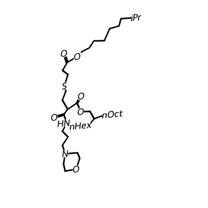 CCCCCCCCC(CCCCCC)COC(=O)C(CCSCCC(=O)OCCCCCCCC(C)C)C(=O)NCCCN1CCOCC1